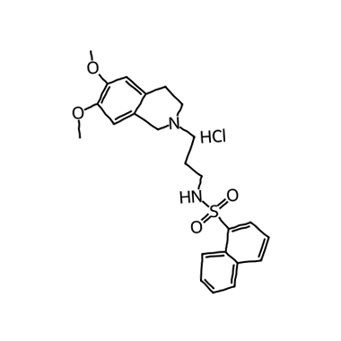 COc1cc2c(cc1OC)CN(CCCNS(=O)(=O)c1cccc3ccccc13)CC2.Cl